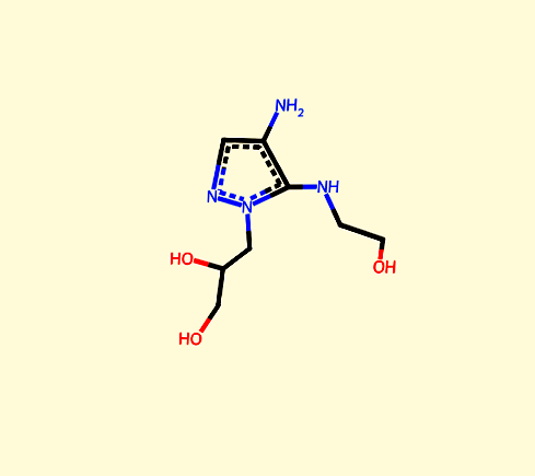 Nc1cnn(CC(O)CO)c1NCCO